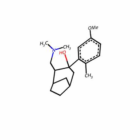 COc1ccc(C)c(C2(O)CC3CCC(C3)C2CN(C)C)c1